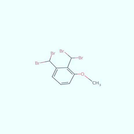 COc1cccc(C(Br)Br)c1C(Br)Br